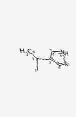 CC(I)c1cn[nH]c1